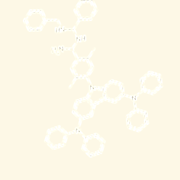 Cc1cc(-n2c3ccc(N(c4ccccc4)c4ccccc4)cc3c3cc(N(c4ccccc4)c4ccccc4)ccc32)c(C)cc1C(N)NC(NCc1ccccc1)c1ccccc1